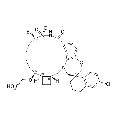 CC[C@@H]1CCCC[C@H](OCC(=O)O)[C@@H]2CC[C@H]2CN2C[C@@]3(CCCc4cc(Cl)ccc43)COc3ccc(cc32)C(=O)NS1(=O)=O